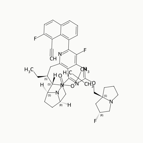 C#Cc1c(F)ccc2cccc(-c3nc4c5c(nc(OC[C@@]67CCCN6C[C@H](F)C7)nc5c3F)N3C[C@H]5CC[C@@H]([C@@H]3[C@@H](CC)C4)N5C(=O)OC(C)(C)C)c12